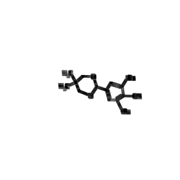 CC1(C)COC(c2cc(C(C)(C)C)c(O)c(C(C)(C)C)c2)OC1